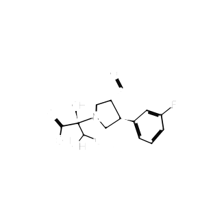 CC(C)[C@](C)(C(=O)O)N1C[C@H](c2cccc(F)c2)[C@@H](C=O)C1